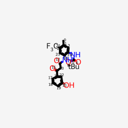 Cc1cc(NC(=O)OC(C)(C)C)c(NC(=O)CC(=O)c2cccc(O)c2)cc1C(F)(F)F